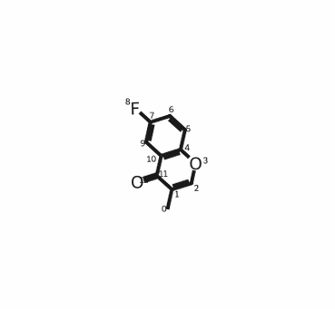 Cc1coc2ccc(F)cc2c1=O